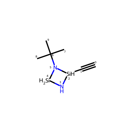 C#C[SiH]1N[SiH2]N1C(C)(C)C